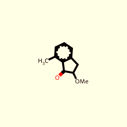 COC1Cc2cccc(C)c2C1=O